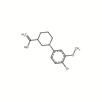 C=C(O)C1CCCN(c2ccc(Cl)c(OC)c2)C1